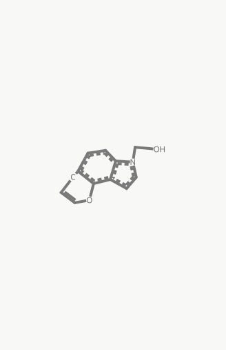 OCn1ccc2c3c(ccc21)CC=CO3